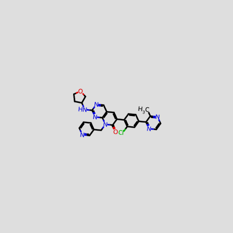 Cc1nccnc1-c1ccc(-c2cc3cnc(NC4CCOC4)nc3n(Cc3cccnc3)c2=O)c(Cl)c1